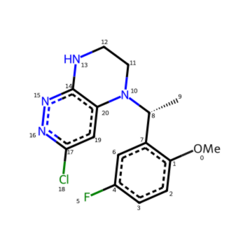 COc1ccc(F)cc1[C@@H](C)N1CCNc2nnc(Cl)cc21